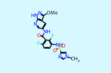 COc1n[nH]c2ncc(NC(=O)c3c(F)ccc(NS(=O)(=O)c4cn(C)cn4)c3F)cc12